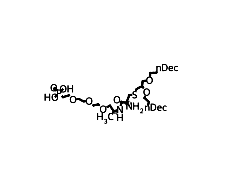 CCCCCCCCCCCCOCC(CSC[C@H](N)C(=O)N[C@@H](C)COCCOCCOCCP(=O)(O)O)OCCCCCCCCCCCC